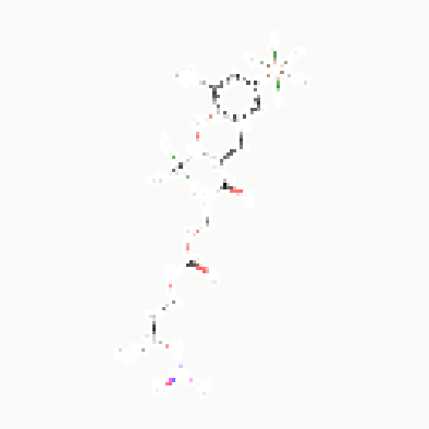 Cc1cc(S(F)(F)(F)(F)F)cc2c1O[C@H](C(F)(F)F)C(C(=O)OCOC(=O)OCCC(C)O[N+](=O)[O-])=C2